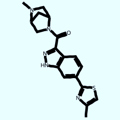 Cc1csc(-c2ccc3c(C(=O)N4CC5CC4CN5C)n[nH]c3c2)n1